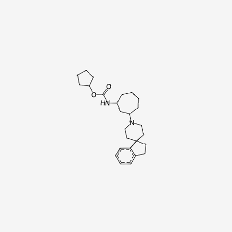 O=C(NC1CCCCC(N2CCC3(CCc4ccccc43)CC2)C1)OC1CCCC1